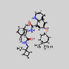 CC1(CNC(=O)[C@H]2[C@@H]3CC[C@@H](C3)[C@H]2NC(=O)c2cc(O[C@H]3CC[C@@](C)(C(=O)O)CC3)cc3cccnc23)CCC1